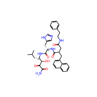 CC(C)C[C@H](NC(=O)[C@H](Cc1cnc[nH]1)NC(=O)C(CC(=O)NCCc1ccccc1)Cc1cccc2ccccc12)C(O)C(=O)C(N)=O